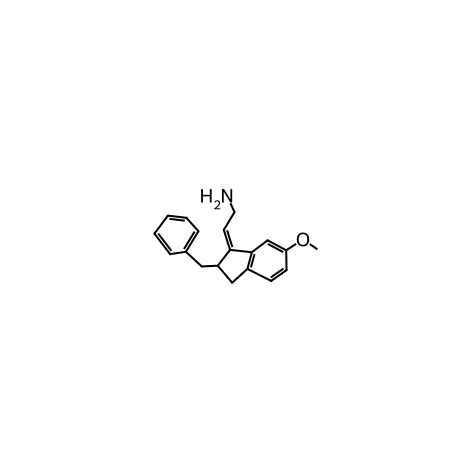 COc1ccc2c(c1)C(=CCN)C(Cc1ccccc1)C2